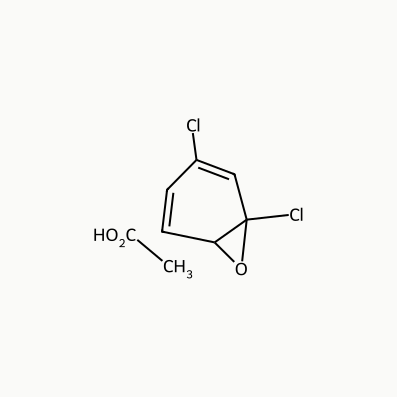 CC(=O)O.ClC1=CC2(Cl)OC2C=C1